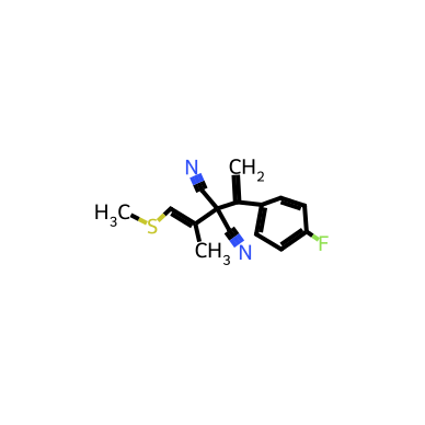 C=C(c1ccc(F)cc1)C(C#N)(C#N)C(C)=CSC